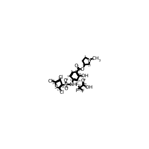 CN1CCC(OC(=O)c2ccc(NS(=O)(=O)c3c(Cl)sc(Cl)c3Cl)cc2O)C1.O=C(O)C(F)(F)F